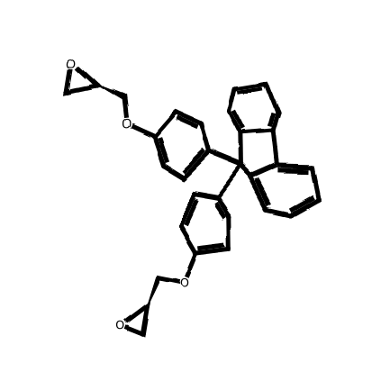 c1ccc2c(c1)-c1ccccc1C2(c1ccc(OC[C@H]2CO2)cc1)c1ccc(OC[C@H]2CO2)cc1